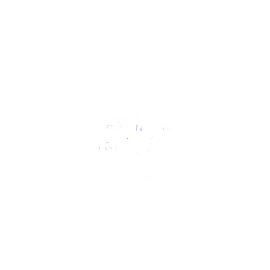 CCCCC1(O)c2ccccc2C(=O)N1C1CCC1